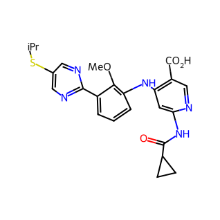 COc1c(Nc2cc(NC(=O)C3CC3)ncc2C(=O)O)cccc1-c1ncc(SC(C)C)cn1